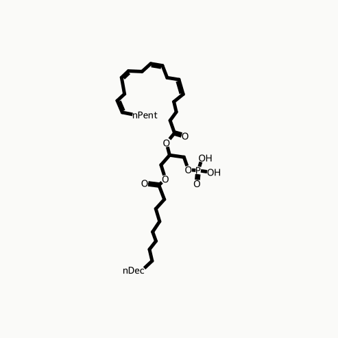 CCCCC/C=C\C/C=C\C/C=C\C/C=C\CCCC(=O)OC(COC(=O)CCCCCCCCCCCCCCCCC)COP(=O)(O)O